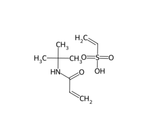 C=CC(=O)NC(C)(C)C.C=CS(=O)(=O)O